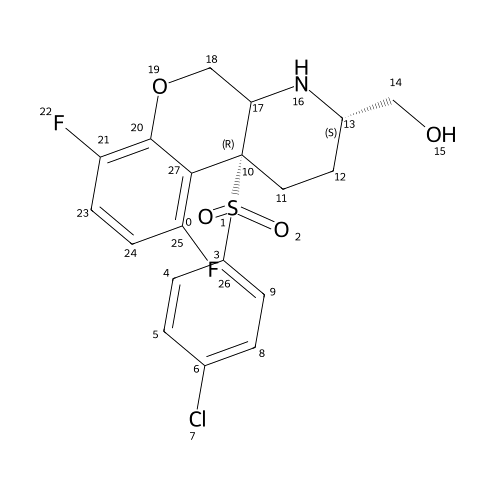 O=S(=O)(c1ccc(Cl)cc1)[C@@]12CC[C@@H](CO)NC1COc1c(F)ccc(F)c12